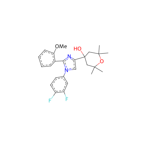 COc1ccccc1-c1nc(C2(O)CC(C)(C)OC(C)(C)C2)cn1-c1ccc(F)c(F)c1